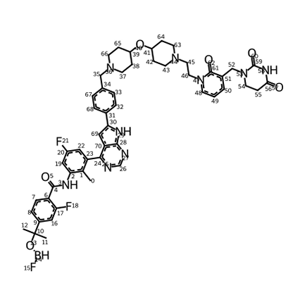 Cc1c(NC(=O)c2ccc(C(C)(C)OBF)cc2F)cc(F)cc1-c1ncnc2[nH]c(-c3ccc(CN4CCC(OC5CCN(CCn6cccc(CN7CCC(=O)NC7=O)c6=O)CC5)CC4)cc3)cc12